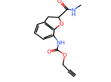 C#CCOC(=O)Nc1cccc2c1OC(C(=O)NC)C2